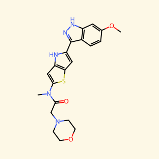 COc1ccc2c(-c3cc4sc(N(C)C(=O)CN5CCOCC5)cc4[nH]3)n[nH]c2c1